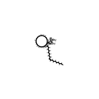 CCCCCCCC/C=C\CCCCCCCC(=O)OC1(C(CO)OS(=O)(=O)O)CCCCCCCCCCCCCCCCCC1